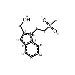 CS(=O)(=O)CCn1c(CO)cc2ccccc21